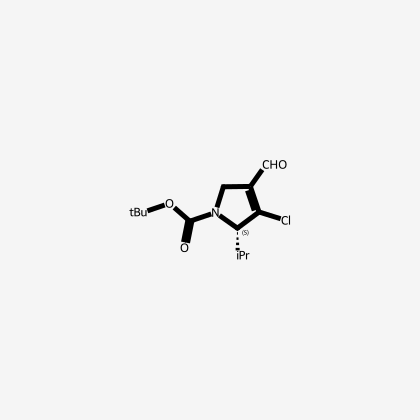 CC(C)[C@H]1C(Cl)=C(C=O)CN1C(=O)OC(C)(C)C